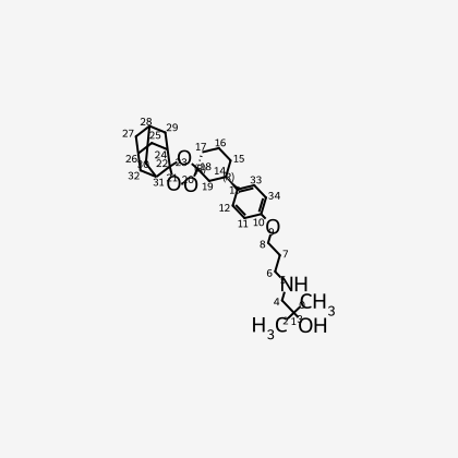 CC(C)(O)CNCCCOc1ccc([C@@H]2CCC[C@]3(C2)OOC2(O3)C3CC4CC(C3)CC2C4)cc1